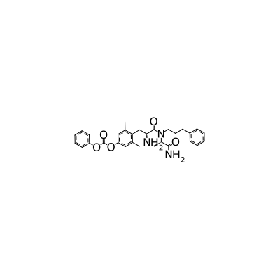 Cc1cc(OC(=O)Oc2ccccc2)cc(C)c1C[C@H](N)C(=O)N(CCCc1ccccc1)[C@H](C)C(N)=O